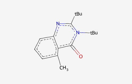 Cc1cccc2nc(C(C)(C)C)n(C(C)(C)C)c(=O)c12